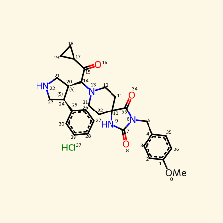 COc1ccc(CN2C(=O)NC3(CCN(C(C(=O)C4CC4)[C@@H]4CNC[C@@H]4c4ccccc4)CC3)C2=O)cc1.Cl